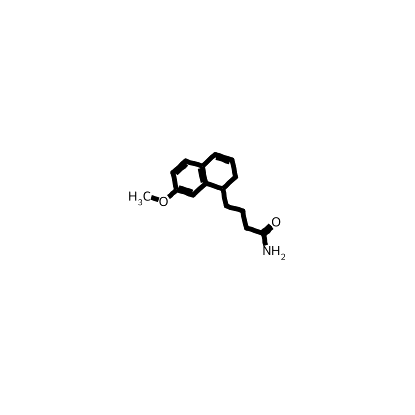 COc1ccc2c(c1)C(CCCC(N)=O)CC=C2